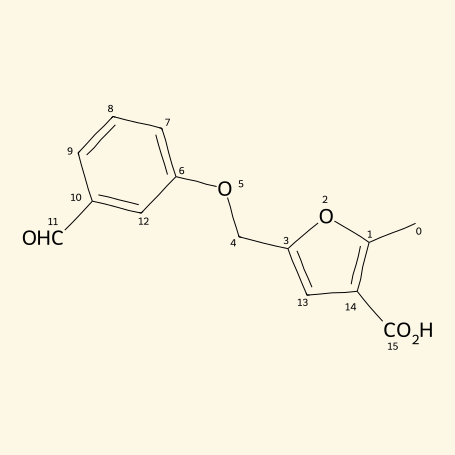 Cc1oc(COc2cccc(C=O)c2)cc1C(=O)O